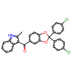 Cc1[nH]c2ccccc2c1C(=O)c1ccc2c(c1)OC(c1ccc(Cl)cc1)(c1ccc(Cl)cc1)O2